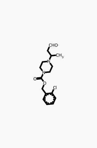 CC(C[C]=O)N1CCN(C(=O)OCc2ccccc2Cl)CC1